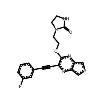 O=C1NCCN1CCOc1nc2cscc2nc1C#Cc1cccc(F)c1